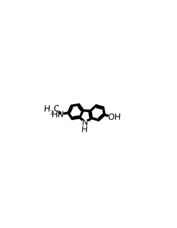 CNc1ccc2c(c1)[nH]c1cc(O)ccc12